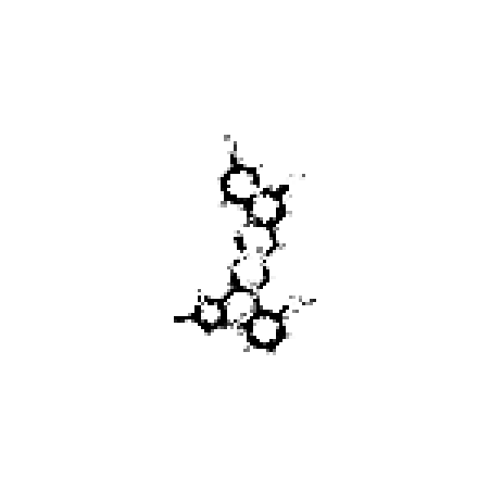 C=N/N=C(/c1ccc(C)o1)N(CSCc1cc(=O)n2cc(Cl)ccc2n1)c1c(OC)cccc1OC